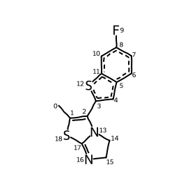 CC1=C(c2cc3ccc(F)cc3s2)N2CCN=C2S1